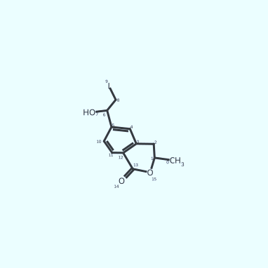 CC1Cc2cc(C(O)CI)ccc2C(=O)O1